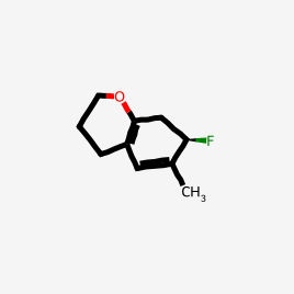 CC1=CC2=C(C[C@H]1F)OCCC2